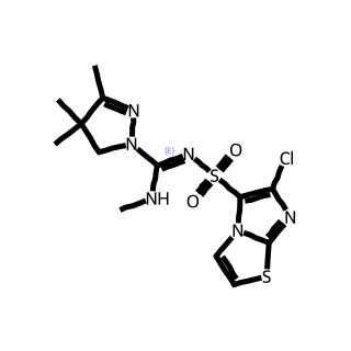 CN/C(=N\S(=O)(=O)c1c(Cl)nc2sccn12)N1CC(C)(C)C(C)=N1